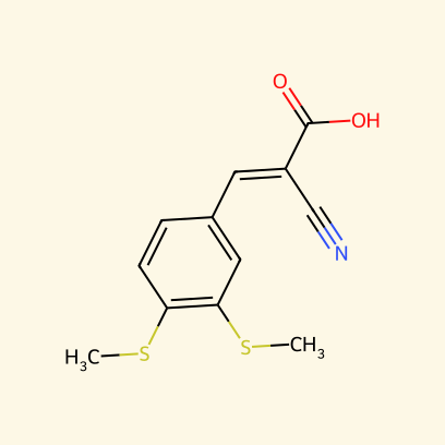 CSc1ccc(/C=C(\C#N)C(=O)O)cc1SC